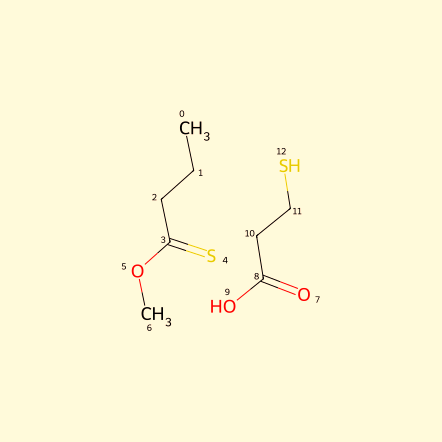 CCCC(=S)OC.O=C(O)CCS